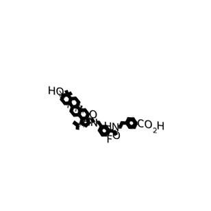 C=C(C)[C@@H]1CC[C@]2(C(=O)NCc3ccc(F)c(C(=O)NCCc4ccc(C(=O)O)cc4)c3)CC[C@]3(C)C(CCC4[C@@]5(C)CC[C@H](O)C(C)(C)C5CC[C@]43C)C12